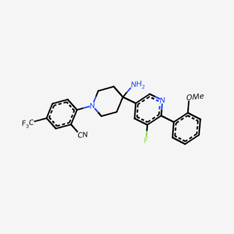 COc1ccccc1-c1ncc(C2(N)CCN(c3ccc(C(F)(F)F)cc3C#N)CC2)cc1F